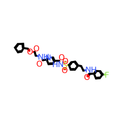 O=C(CNC(=O)c1ccc(C(=O)NS(=O)(=O)c2ccc(CCNC(=O)c3ccc(F)cc3)cc2)cn1)OCc1ccccc1